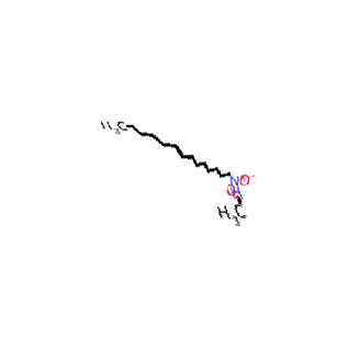 CCCCCCCCCCCCCC[NH+]([O-])OCC